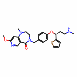 CNCC[C@H](Oc1ccc(CN2CCN(C)c3cc(OC)ncc3C2=O)cc1)c1cccs1